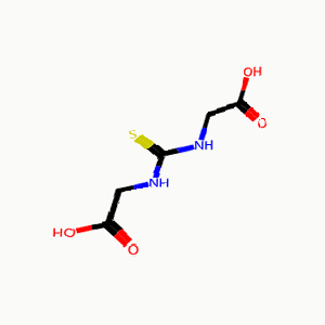 O=C(O)CNC(=S)NCC(=O)O